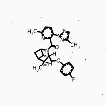 Cc1ccc(-n2ncc(C)n2)c(C(=O)N2C3CC(C3)[C@@H](C)[C@H]2COc2ccc(F)cc2)n1